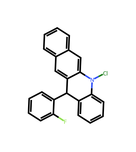 Fc1ccccc1C1c2ccccc2N(Cl)c2cc3ccccc3cc21